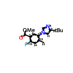 COC(=O)c1cc(-n2cnc(C(C)(C)C)c2)c(C)cc1F